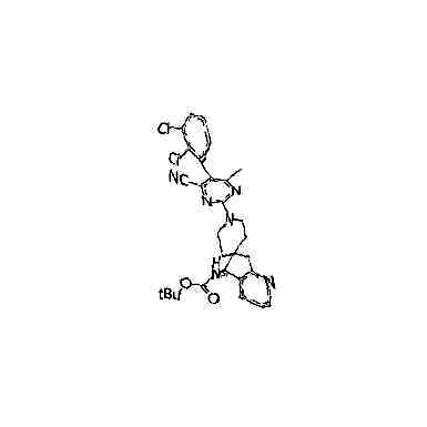 Cc1nc(N2CCC3(CC2)Cc2ncccc2[C@H]3NC(=O)OC(C)(C)C)nc(C#N)c1-c1cccc(Cl)c1Cl